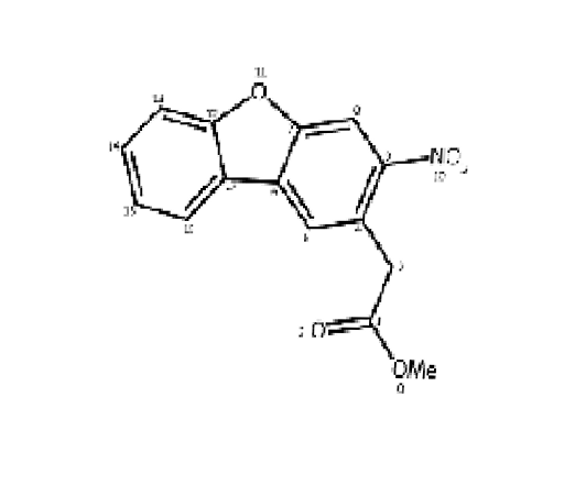 COC(=O)Cc1cc2c(cc1[N+](=O)[O-])oc1ccccc12